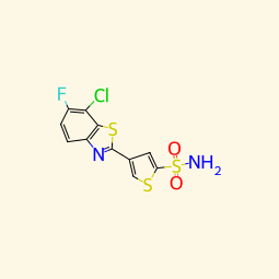 NS(=O)(=O)c1cc(-c2nc3ccc(F)c(Cl)c3s2)cs1